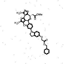 COC(=O)C[C@@H]1N=C(c2ccc(N3CCc4cc(OCC(=O)OCc5ccccc5)ccc43)cc2)c2c(sc(C)c2C)-n2c(C)nnc21